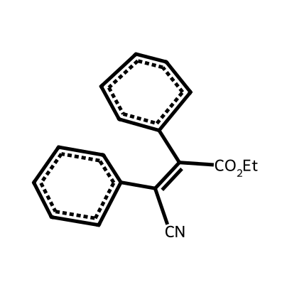 CCOC(=O)C(=C(C#N)c1ccccc1)c1ccccc1